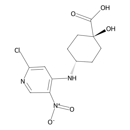 O=C(O)[C@]1(O)CC[C@H](Nc2cc(Cl)ncc2[N+](=O)[O-])CC1